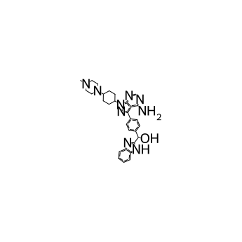 CN1CCN(C2CCC(n3nc(-c4ccc(C(O)c5nc6ccccc6[nH]5)cc4)c4c(N)ncnc43)CC2)CC1